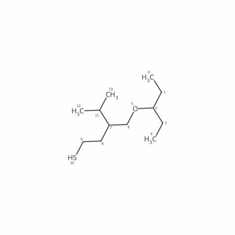 CCC(CC)OCC(CCS)C(C)C